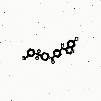 O=C(c1ccc(Nc2ccnc3cc(Cl)ccc23)cc1)N1CCN(S(=O)(=O)c2cccc(Br)c2)CC1